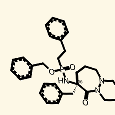 O=C1N2CCCCN2CCC[C@]1(Cc1ccccc1)NP(=O)(CCc1ccccc1)OCc1ccccc1